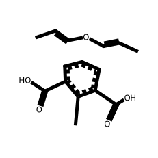 CC=COC=CC.Cc1c(C(=O)O)cccc1C(=O)O